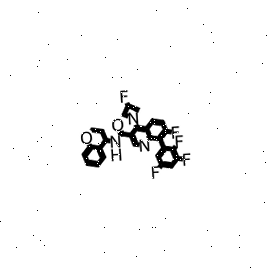 O=C(NC1CCOc2ccccc21)c1cnc2c(-c3cc(F)cc(F)c3F)c(F)ccc2c1N1CC(F)C1